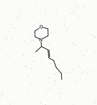 CCCCC=CC(C)N1CCOCC1